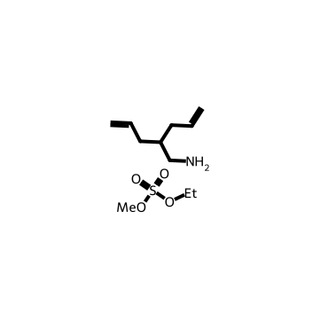 C=CCC(CN)CC=C.CCOS(=O)(=O)OC